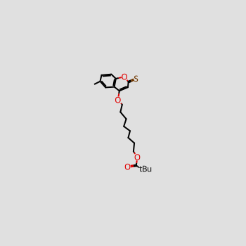 Cc1ccc2oc(=S)cc(OCCCCCCCCOC(=O)C(C)(C)C)c2c1